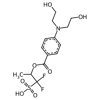 CC(OC(=O)c1ccc(N(CCO)CCO)cc1)C(F)(F)S(=O)(=O)O